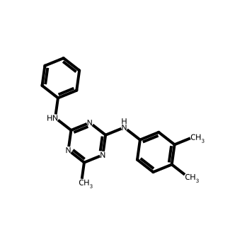 Cc1nc(Nc2ccccc2)nc(Nc2ccc(C)c(C)c2)n1